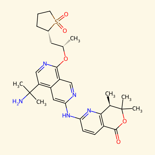 C[C@@H]1c2nc(Nc3cc4c(C(C)(C)N)cnc(O[C@@H](C)C[C@@H]5CCCS5(=O)=O)c4cn3)ccc2C(=O)OC1(C)C